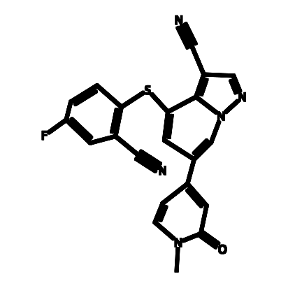 Cn1ccc(-c2cc(Sc3ccc(F)cc3C#N)c3c(C#N)cnn3c2)cc1=O